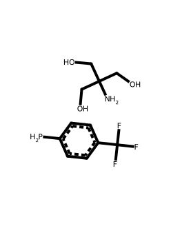 FC(F)(F)c1ccc(P)cc1.NC(CO)(CO)CO